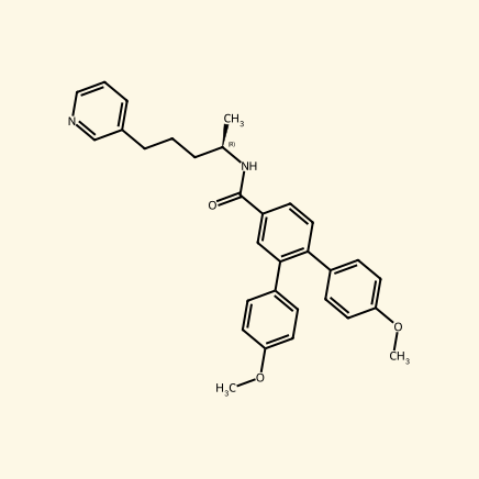 COc1ccc(-c2ccc(C(=O)N[C@H](C)CCCc3cccnc3)cc2-c2ccc(OC)cc2)cc1